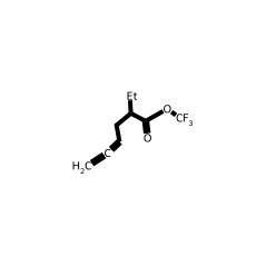 C=C=CCC(CC)C(=O)OC(F)(F)F